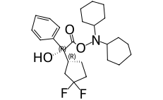 O=C(ON(C1CCCCC1)C1CCCCC1)[C@](O)(c1ccccc1)[C@@H]1CCC(F)(F)C1